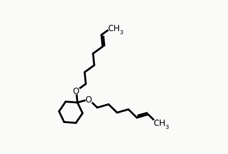 CC=CCCCCOC1(OCCCCC=CC)CCCCC1